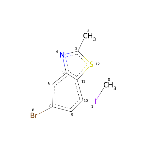 CI.Cc1nc2cc(Br)ccc2s1